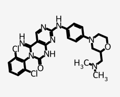 CN(C)CC1CN(c2ccc(Nc3ncc4c(=N)n(-c5c(Cl)cccc5Cl)c(=O)[nH]c4n3)cc2)CCO1